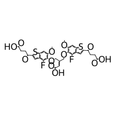 COc1cc2sc(C(=O)CCC(=O)O)cc2c(F)c1OCC(=CC(=O)O)COc1c(OC)cc2sc(C(=O)CCC(=O)O)cc2c1F